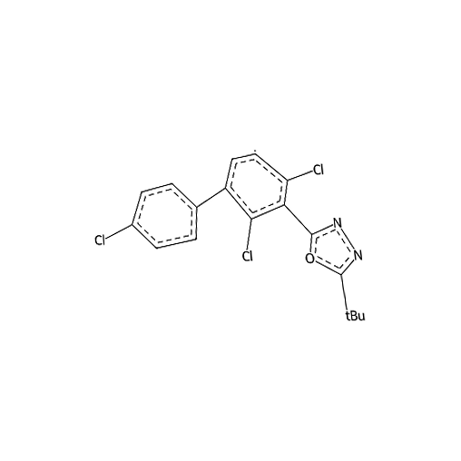 CC(C)(C)c1nnc(-c2c(Cl)[c]cc(-c3ccc(Cl)cc3)c2Cl)o1